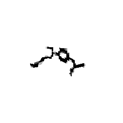 CCCCN(CC)c1ccc(C=C(C#N)C#N)cc1